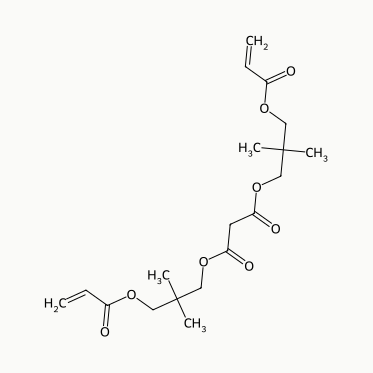 C=CC(=O)OCC(C)(C)COC(=O)CC(=O)OCC(C)(C)COC(=O)C=C